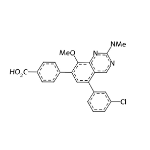 CNc1ncc2c(-c3cccc(Cl)c3)cc(-c3ccc(C(=O)O)cc3)c(OC)c2n1